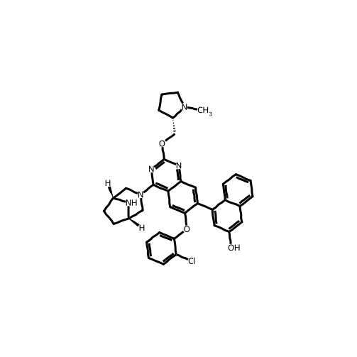 CN1CCC[C@H]1COc1nc(N2C[C@H]3CC[C@@H](C2)N3)c2cc(Oc3ccccc3Cl)c(-c3cc(O)cc4ccccc34)cc2n1